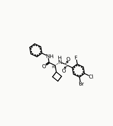 O=C(Nc1ccccc1)[C@H](NS(=O)(=O)c1cc(Br)c(Cl)cc1F)C1CCC1